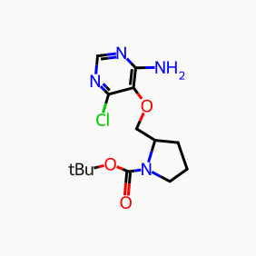 CC(C)(C)OC(=O)N1CCCC1COc1c(N)ncnc1Cl